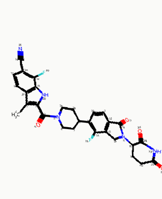 Cc1c(C(=O)N2CCC(c3ccc4c(c3F)CN(C3CCC(=O)NC3=O)C4=O)CC2)[nH]c2c(F)c(C#N)ccc12